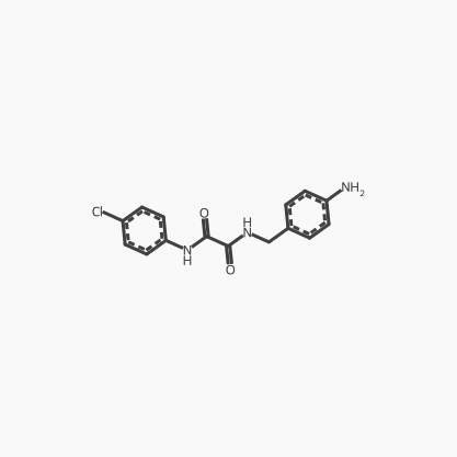 Nc1ccc(CNC(=O)C(=O)Nc2ccc(Cl)cc2)cc1